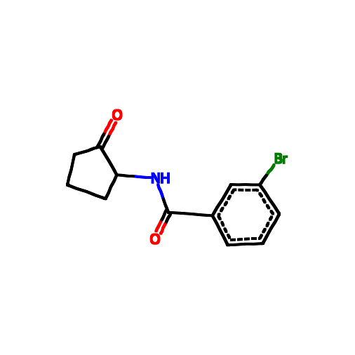 O=C(NC1CCCC1=O)c1cccc(Br)c1